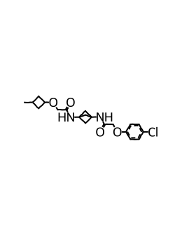 CC1CC(OCC(=O)NC23CC(NC(=O)COc4ccc(Cl)cc4)(C2)C3)C1